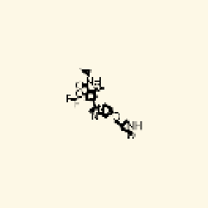 COc1cc(-c2cnc3cc(OCC4CNC(=O)C4)ccn23)cc(OC(F)F)c1C(=O)NC1CC1